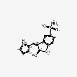 NS(=O)(=O)c1ccc2c(c1)C(=Cc1ccc[nH]1)C(=O)N2